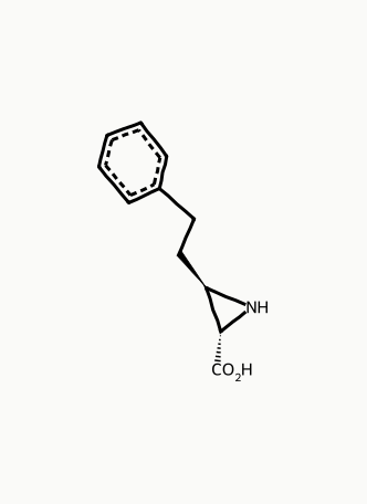 O=C(O)[C@H]1N[C@@H]1CCc1ccccc1